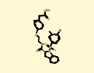 COC(=O)Cc1ccc(OCCNC(=O)[C@@H]2Cc3ccccc3N2S(=O)(=O)c2ccc(Br)c(C)c2)cc1